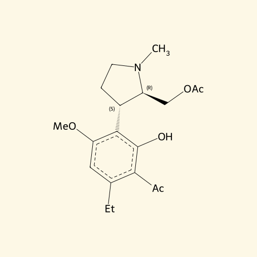 CCc1cc(OC)c([C@@H]2CCN(C)[C@H]2COC(C)=O)c(O)c1C(C)=O